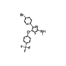 CNc1nc(-c2ccc(Br)cc2)c(Oc2ccc(C(F)(F)F)cc2)s1